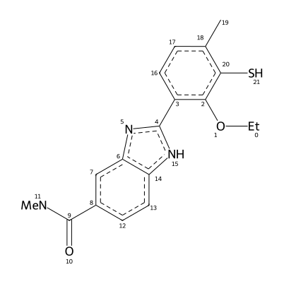 CCOc1c(-c2nc3cc(C(=O)NC)ccc3[nH]2)ccc(C)c1S